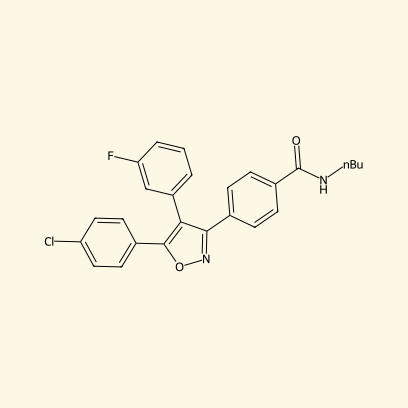 CCCCNC(=O)c1ccc(-c2noc(-c3ccc(Cl)cc3)c2-c2cccc(F)c2)cc1